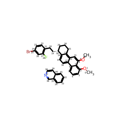 COc1cccc2c1c(OC)cc1c3c(ccc12)[C@H](CCc1ccc(Br)cc1F)CCC3.c1ccc2cnccc2c1